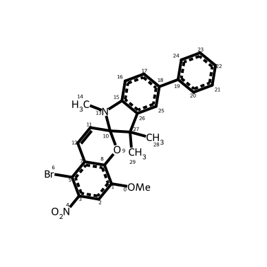 COc1cc([N+](=O)[O-])c(Br)c2c1OC1(C=C2)N(C)c2ccc(-c3ccccc3)cc2C1(C)C